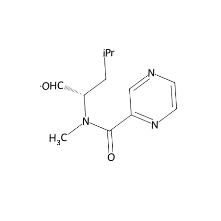 CC(C)C[C@@H]([C]=O)N(C)C(=O)c1cnccn1